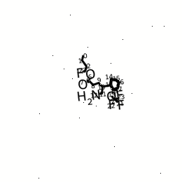 CCCC(F)OC(=O)CCC(CN)c1ccccc1OC(F)(F)F